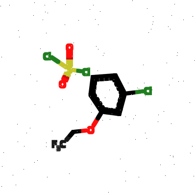 FC(F)(F)COc1cccc(Cl)c1.O=S(=O)(Cl)Cl